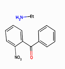 CCN.O=C(c1ccccc1)c1ccccc1[N+](=O)[O-]